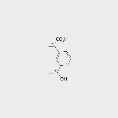 C[C@H](C(=O)O)c1cccc([C@@H](C)O)c1